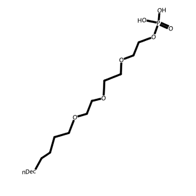 CCCCCCCCCCCCCCOCCOCCOCCOP(=O)(O)O